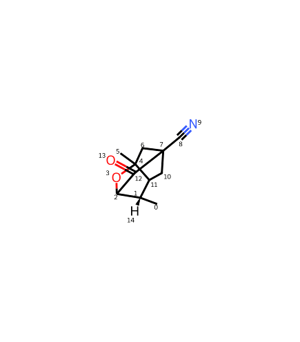 C[C@@H]1C2OC3(C)CC(C#N)(CC13)C2=O